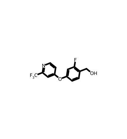 OCc1ccc(Oc2ccnc(C(F)(F)F)c2)cc1F